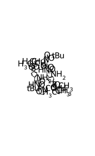 CC(C)(C)OC(=O)N1CCCO[C@H](C(=O)N[C@@H](Cc2ccc(B3OC(C)(C)C(C)(C)O3)cc2)C(N)=O)C1.CC1(C)OB(c2ccc(C[C@H](NC(=O)[C@]3(C(C)(C)C)CN(C(=O)O)CCCO3)C(N)=O)cc2)OC1(C)C